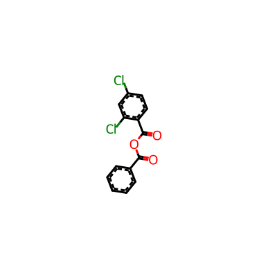 O=C(OC(=O)c1ccc(Cl)cc1Cl)c1ccccc1